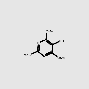 COc1nc(OC)c(N)c(OC)n1